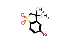 CC1(C)CS(=O)(=O)c2ccc(Br)cc21